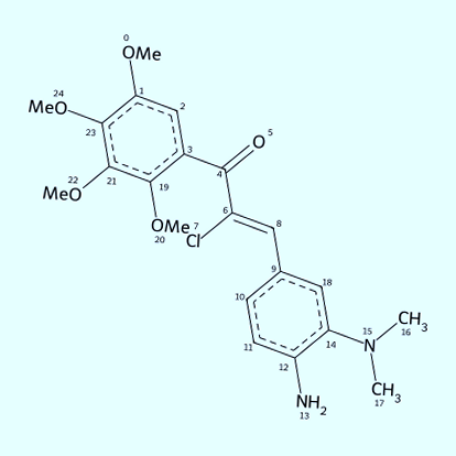 COc1cc(C(=O)C(Cl)=Cc2ccc(N)c(N(C)C)c2)c(OC)c(OC)c1OC